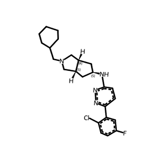 Fc1ccc(Cl)c(-c2ccc(N[C@H]3C[C@@H]4CN(CC5CCCCC5)C[C@@H]4C3)nn2)c1